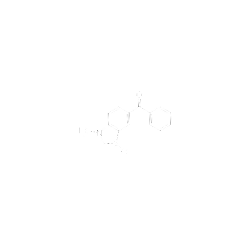 CN1C[S+]([O-])c2cc(C(=O)c3ccccc3)ccc21